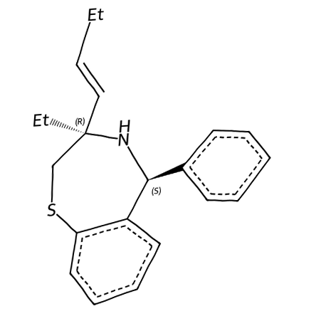 CCC=C[C@]1(CC)CSc2ccccc2[C@H](c2ccccc2)N1